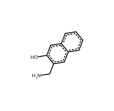 NCc1cc2ccccc2cc1O